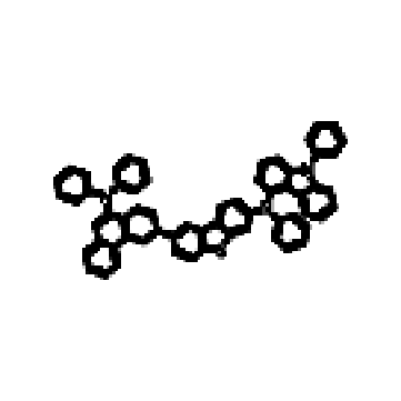 C1=CC(c2ccc3sc4cc(N(c5ccccc5)c5cccc6c5c5ccccc5n6-c5ccccc5)ccc4c3c2)Cc2c1c(N(c1ccccc1)c1ccccc1)cc1ccccc21